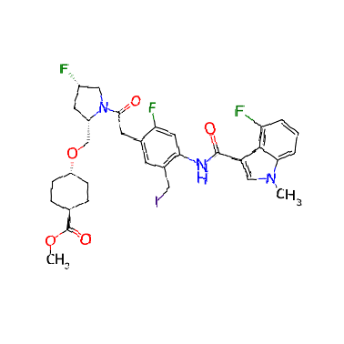 COC(=O)[C@H]1CC[C@H](OC[C@@H]2C[C@H](F)CN2C(=O)Cc2cc(CI)c(NC(=O)c3cn(C)c4cccc(F)c34)cc2F)CC1